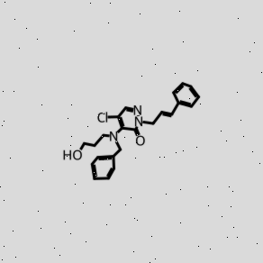 O=c1c(N(CCCO)Cc2ccccc2)c(Cl)cnn1C/C=C/c1ccccc1